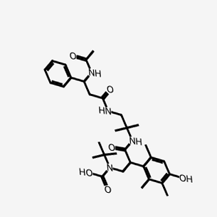 CC(=O)NC(CC(=O)NCC(C)(C)NC(=O)C(CN(C(=O)O)C(C)(C)C)c1c(C)cc(O)c(C)c1C)c1ccccc1